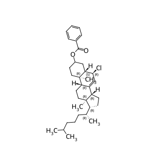 CC(C)CCC[C@@H](C)[C@H]1CC[C@H]2C3=C[C@H](Cl)[C@H]4CC(OC(=O)c5ccccc5)CC[C@]4(C)[C@H]3CC[C@]12C